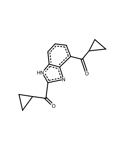 O=C(c1nc2c(C(=O)C3CC3)cccc2[nH]1)C1CC1